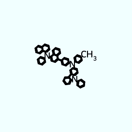 Cc1ccc(N(c2ccc(-c3ccc(N(c4ccccc4)c4cccc5ccccc45)c4ccccc34)cc2)c2ccc3c(c2)c2ccccc2n3-c2ccccc2)cc1